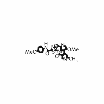 COc1ccc(NC(=O)c2nnc(NC(=O)c3cnc(C)cc3-c3cc(Cl)ncc3OC)s2)cc1